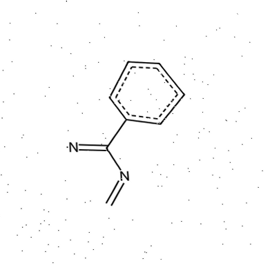 C=NC(=[N])c1ccccc1